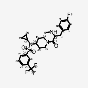 CNC(Cc1ccc(F)cc1)C(=O)N1CCC(N(C2CC2)S(=O)(=O)c2cccc(C(F)(F)F)c2)CC1